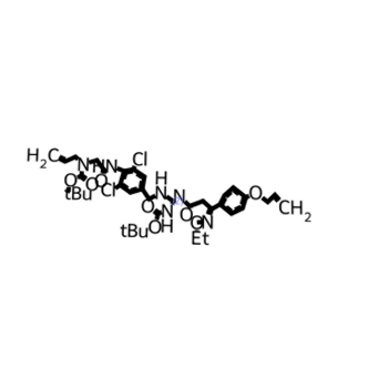 C=CCOc1ccc(C(CC(=O)/N=C(/NCc2cc(Cl)c(NC(=O)CN(CC=C)C(=O)OC(C)(C)C)c(Cl)c2)NC(=O)OC(C)(C)C)=NOCC)cc1